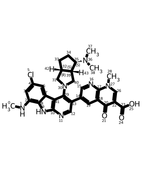 CNc1cc(Cl)cc2c1[nH]c1ncc(-c3cnc4c(c3)c(=O)c(C(=O)O)cn4C)c(N3C[C@@H]4CC[C@H](N(C)C)[C@@H]4C3)c12